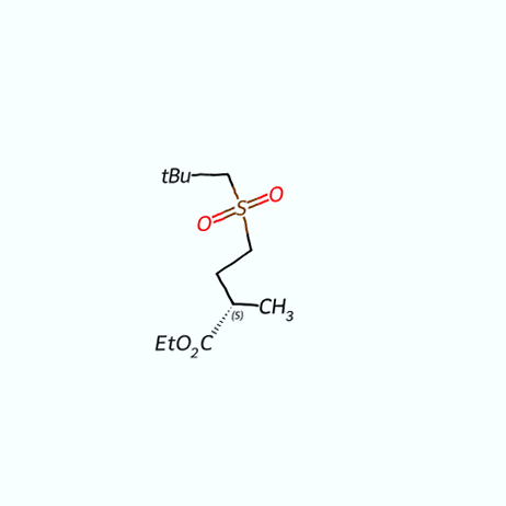 CCOC(=O)[C@@H](C)CCS(=O)(=O)CC(C)(C)C